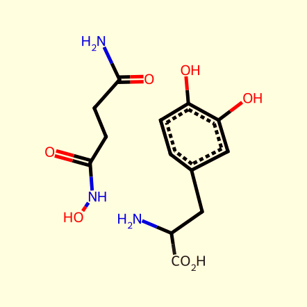 NC(=O)CCC(=O)NO.NC(Cc1ccc(O)c(O)c1)C(=O)O